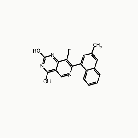 Cc1cc(-c2ncc3c(O)nc(O)nc3c2F)c2ccccc2c1